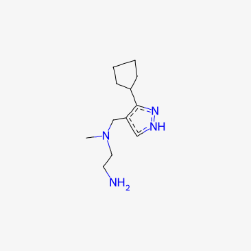 CN(CCN)Cc1c[nH]nc1C1CCCC1